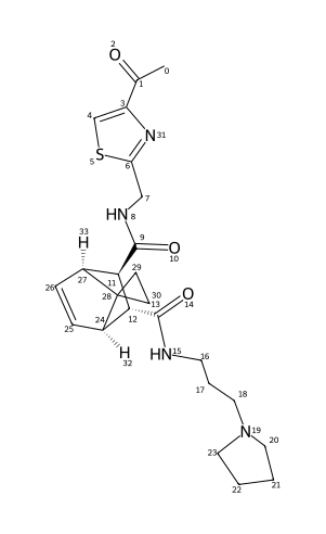 CC(=O)c1csc(CNC(=O)[C@H]2[C@H](C(=O)NCCCN3CCCC3)[C@H]3C=C[C@@H]2C32CC2)n1